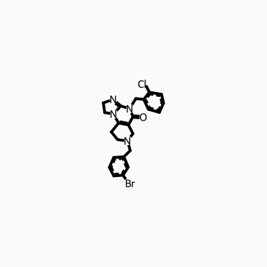 O=C1C2=C(CCN(Cc3cccc(Br)c3)C2)N2CCN=C2N1Cc1ccccc1Cl